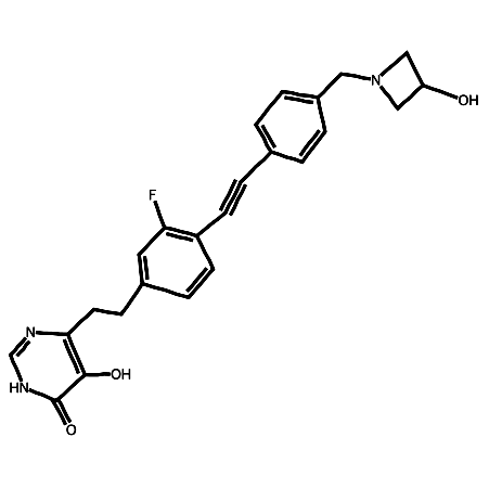 O=c1[nH]cnc(CCc2ccc(C#Cc3ccc(CN4CC(O)C4)cc3)c(F)c2)c1O